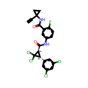 C#CC1(NC(=O)c2cc(NC(=O)[C@H]3[C@H](c4cc(Cl)cc(Cl)c4)C3(Cl)Cl)ccc2F)CC1